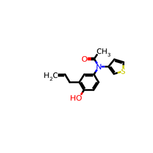 C=CCc1cc(N(C(C)=O)c2ccsc2)ccc1O